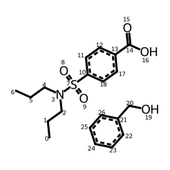 CCCN(CCC)S(=O)(=O)c1ccc(C(=O)O)cc1.OCc1ccccc1